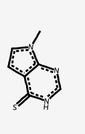 Cn1ccc2c(=S)[nH]cnc21